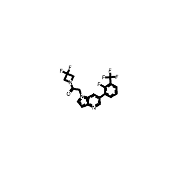 O=C(Cn1ccc2ncc(-c3cccc(C(F)(F)F)c3F)cc21)N1CC(F)(F)C1